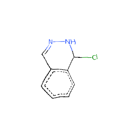 ClC1NN=Cc2ccccc21